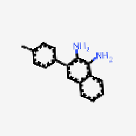 Cc1ccc(-c2cc3ccccc3c(N)c2N)cc1